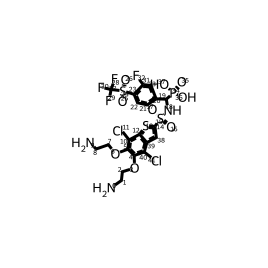 NCCOc1c(OCCN)c(Cl)c2sc(S(=O)(=O)NC(c3ccc(S(=O)(=O)C(F)(F)F)c(F)c3)P(=O)(O)O)cc2c1Cl